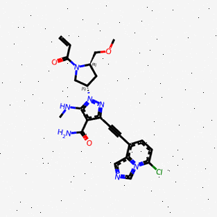 C=CC(=O)N1C[C@@H](n2nc(C#Cc3ccc(Cl)n4cncc34)c(C(N)=O)c2NC)C[C@@H]1COC